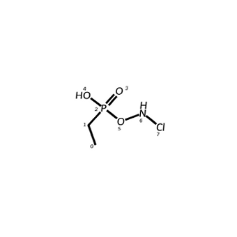 CCP(=O)(O)ONCl